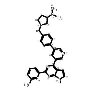 Cc1cccc(-c2nc(-c3cncc(-c4ccc(CN5CCC(N(C)C)C5)cc4)c3)c3cc[nH]c3n2)n1